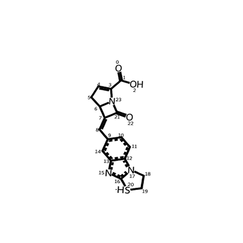 O=C(O)C1=CCC2C(=Cc3ccc4c(c3)nc3n4CC[SH]3)C(=O)N12